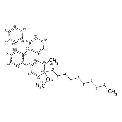 CCCCCCCCCCC1(OC)C=CC=C(c2ccccc2-c2ccccc2-c2ccccc2)C1C